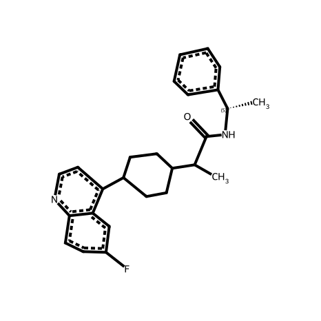 CC(C(=O)N[C@@H](C)c1ccccc1)C1CCC(c2ccnc3ccc(F)cc23)CC1